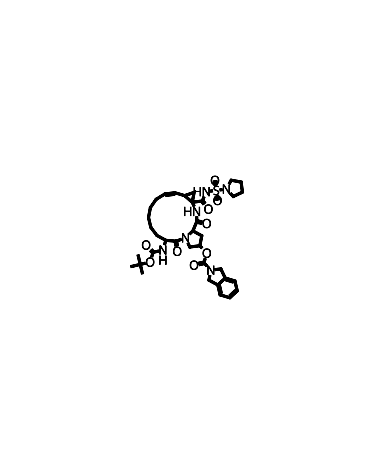 CC(C)(C)OC(=O)NC1CCCCCC=CC2CC2(C(=O)NS(=O)(=O)N2CCCC2)NC(=O)C2CC(OC(=O)N3Cc4ccccc4C3)CN2C1=O